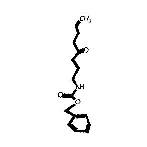 C=CCCC(=O)CCCNC(=O)OCc1ccccc1